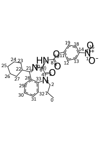 CCCN1C(=O)[C@H](NC(=O)Oc2ccc([N+](=O)[O-])cc2)N=C(C2CCCCC2)c2ccccc21